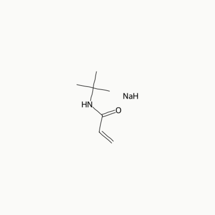 C=CC(=O)NC(C)(C)C.[NaH]